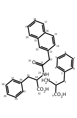 NC(Cc1ccccc1)C(=O)O.O=C(Cc1ccc2ccccc2c1)NC(Cc1ccccc1)C(=O)O